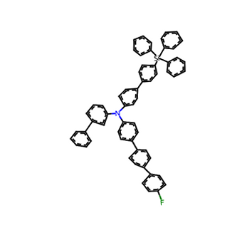 Fc1ccc(-c2ccc(-c3ccc(N(c4ccc(-c5ccc([Si](c6ccccc6)(c6ccccc6)c6ccccc6)cc5)cc4)c4cccc(-c5ccccc5)c4)cc3)cc2)cc1